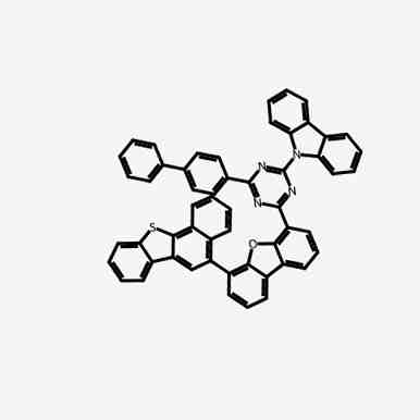 c1ccc(-c2ccc(-c3nc(-c4cccc5c4oc4c(-c6cc7c8ccccc8sc7c7ccccc67)cccc45)nc(-n4c5ccccc5c5ccccc54)n3)cc2)cc1